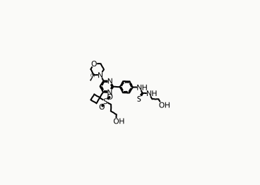 C[C@H]1COCCN1c1cc(C2(S(=O)(=O)CCCO)CCC2)nc(-c2ccc(NC(=S)NCCO)cc2)n1